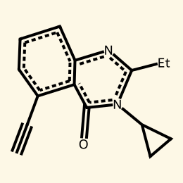 C#Cc1cccc2nc(CC)n(C3CC3)c(=O)c12